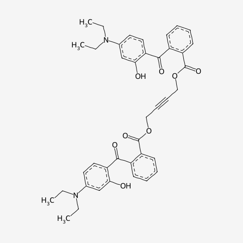 CCN(CC)c1ccc(C(=O)c2ccccc2C(=O)OCC#CCOC(=O)c2ccccc2C(=O)c2ccc(N(CC)CC)cc2O)c(O)c1